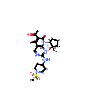 CC(=O)c1c(C)c2cnc(NC3CCN(S(C)(=O)=O)CC3)nc2n([C@H]2CCC[C@]2(C)O)c1=O